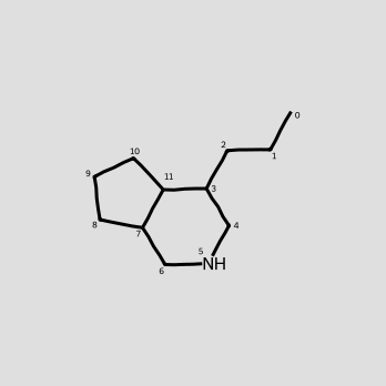 CCCC1CNCC2CCCC12